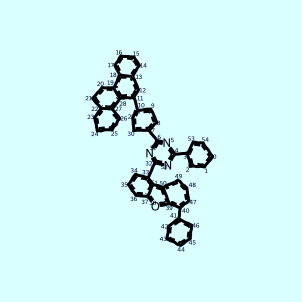 c1ccc(-c2nc(-c3ccc(-c4cc5ccccc5c5ccc6ccccc6c45)cc3)nc(-c3cccc4oc5c(-c6ccccc6)cccc5c34)n2)cc1